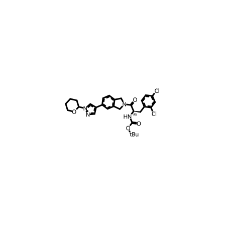 CC(C)(C)OC(=O)N[C@H](Cc1ccc(Cl)cc1Cl)C(=O)N1Cc2ccc(-c3cnn(C4CCCCO4)c3)cc2C1